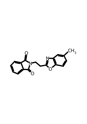 Cc1ccc2oc(CCN3C(=O)c4ccccc4C3=O)nc2c1